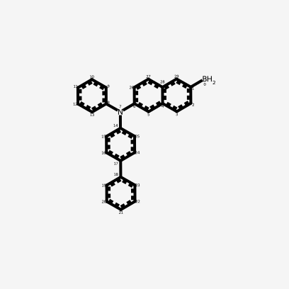 Bc1ccc2cc(N(c3ccccc3)c3ccc(-c4ccccc4)cc3)ccc2c1